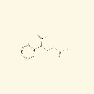 NC(=O)CCC(C(N)=O)c1ccccc1I